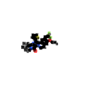 COc1cc2c(cc1C=C(F)F)-c1c(-c3cccs3)nc(C(=O)N(C)C(C)(C)C)n1CC2